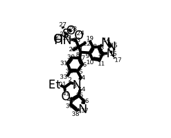 CCC1CN(Cc2cc(C(c3ccc4c(nnn4C)c3C)C(C)(C)C(=O)NS(C)(=O)=O)ccc2C)Cc2cnccc2O1